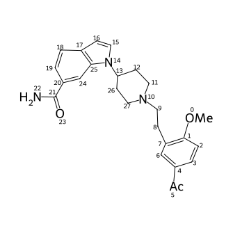 COc1ccc(C(C)=O)cc1CCN1CCC(n2ccc3ccc(C(N)=O)cc32)CC1